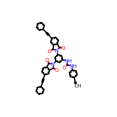 C#Cc1ccc(NC(=O)Nc2cc(N3C(=O)c4ccc(C#Cc5ccccc5)cc4C3=O)cc(N3C(=O)c4ccc(C#Cc5ccccc5)cc4C3=O)c2)cc1